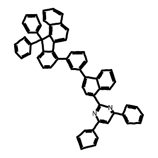 c1ccc(-c2cc(-c3ccccc3)nc(-c3ccc(-c4cccc(-c5cccc6c5-c5ccc7ccccc7c5C6(c5ccccc5)c5ccccc5)c4)c4ccccc34)n2)cc1